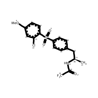 COc1ccc(S(=O)(=O)c2ccc(C[C@@H](C)NC(=O)C(F)(F)F)cc2)c(Cl)c1